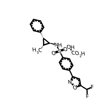 C[C@H]1[C@H](NS(=O)(=O)c2ccc(-c3cc(C(F)F)on3)cc2)[C@H]1c1ccccc1.O=C(O)O